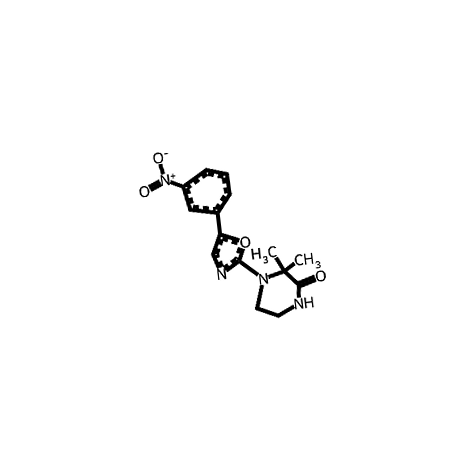 CC1(C)C(=O)NCCN1c1ncc(-c2cccc([N+](=O)[O-])c2)o1